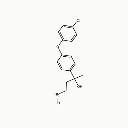 CCNCCC(C)(O)c1ccc(Oc2ccc(Cl)cc2)cc1